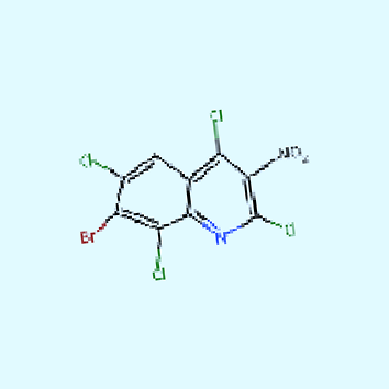 O=[N+]([O-])c1c(Cl)nc2c(Cl)c(Br)c(Cl)cc2c1Cl